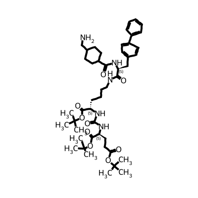 CC(C)(C)OC(=O)CC[C@H](NC(=O)N[C@@H](CCCCNC(=O)[C@H](Cc1ccc(-c2ccccc2)cc1)NC(=O)C1CCC(CN)CC1)C(=O)OC(C)(C)C)C(=O)OC(C)(C)C